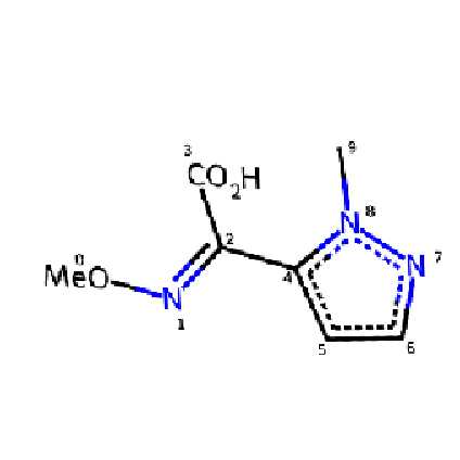 CON=C(C(=O)O)c1ccnn1C